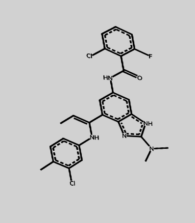 CC=C(Nc1ccc(C)c(Cl)c1)c1cc(NC(=O)c2c(F)cccc2Cl)cc2[nH]c(N(C)C)nc12